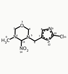 CN1COCN(Cc2cnc(Cl)s2)C1[N+](=O)[O-]